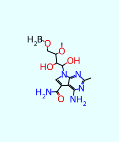 BOCC(OC)C(O)C(O)n1cc(C(N)=O)c2c(N)nc(C)nc21